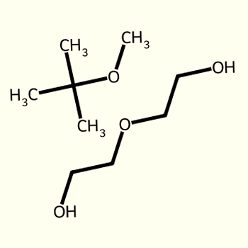 COC(C)(C)C.OCCOCCO